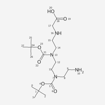 CC(C)(C)OC(=O)N(CCN)CCN(CCNCC(=O)O)C(=O)OC(C)(C)C